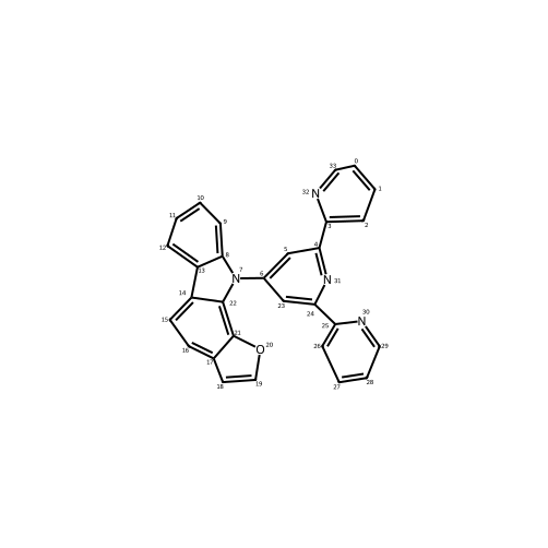 c1ccc(-c2cc(-n3c4ccccc4c4ccc5ccoc5c43)cc(-c3ccccn3)n2)nc1